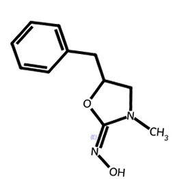 CN1CC(Cc2ccccc2)O/C1=N/O